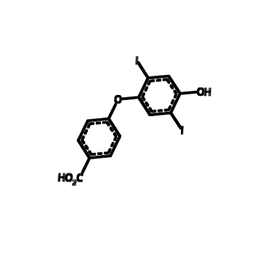 O=C(O)c1ccc(Oc2cc(I)c(O)cc2I)cc1